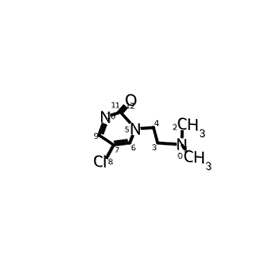 CN(C)CCn1cc(Cl)cnc1=O